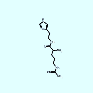 N=C(N)NCCCC(N)C(=O)NCCc1c[nH]cn1